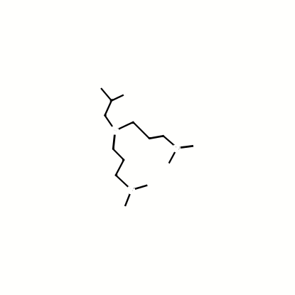 CC(O)CN(CCCN(C)C)CCCN(C)C